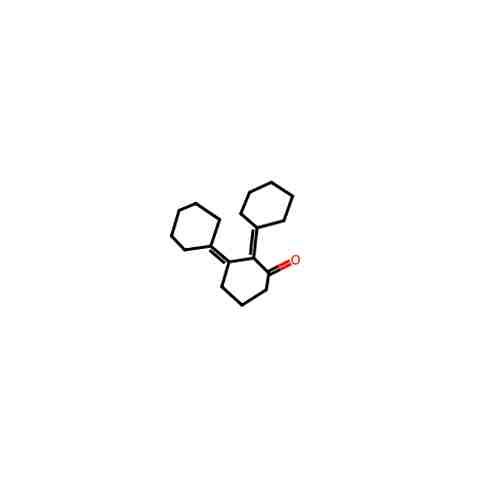 O=C1CCCC(=C2CCCCC2)C1=C1CCCCC1